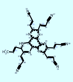 C/C=C/C1Nc2c(c3nc(/C=C/C#N)c(/C=C/C#N)nc3c3nc(/C=C/C#N)c(/C=C/C#N)nc23)N=C1/C=C/C#N